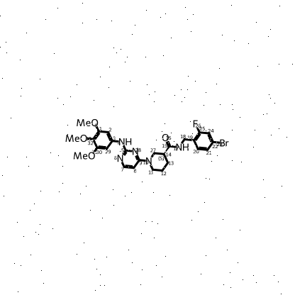 COc1cc(Nc2nccc(N3CCC[C@H](C(=O)NCc4ccc(Br)cc4F)C3)n2)cc(OC)c1OC